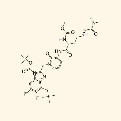 COC(=O)NC(CC/C=C/C(=O)N(C)C)C(=O)Nc1cccn(Cc2nc3c(CC(C)(C)C)c(F)c(F)cc3n2C(=O)OC(C)(C)C)c1=O